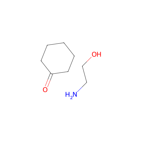 NCCO.O=C1CCCCC1